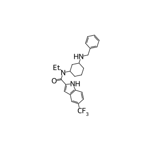 CCN(C(=O)c1cc2cc(C(F)(F)F)ccc2[nH]1)C1CCCC(NCc2ccccc2)C1